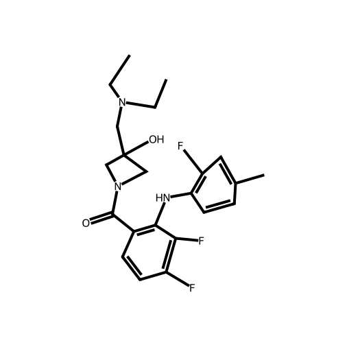 CCN(CC)CC1(O)CN(C(=O)c2ccc(F)c(F)c2Nc2ccc(C)cc2F)C1